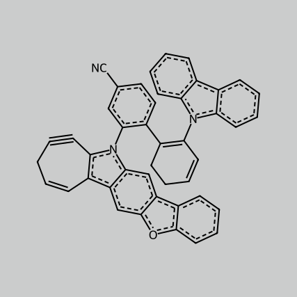 N#Cc1ccc(C2=C(n3c4ccccc4c4ccccc43)C=CCC2)c(-n2c3c(c4cc5oc6ccccc6c5cc42)C=CCC#C3)c1